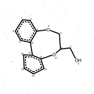 OCC1COc2ccccc2-c2[c][c][c]cc2O1